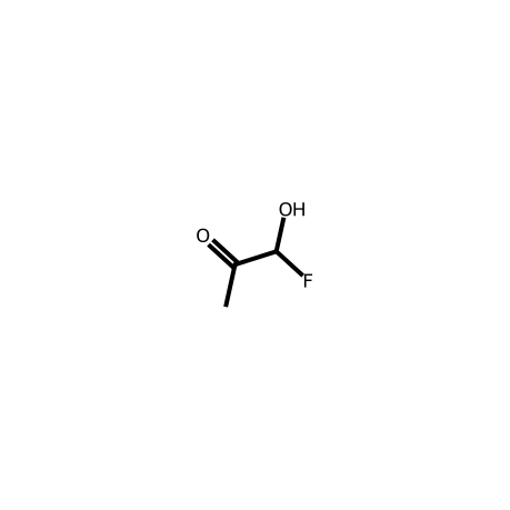 CC(=O)C(O)F